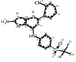 Nc1nc2c(Nc3ccc(S(=O)(=O)C(F)(F)F)cc3)nc(-c3ccccc3Cl)nc2s1